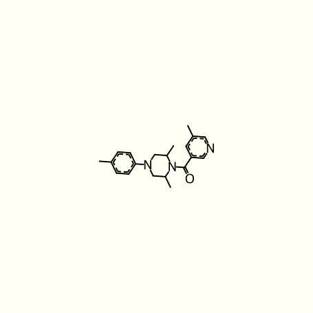 Cc1ccc(N2CC(C)N(C(=O)c3cncc(C)c3)C(C)C2)cc1